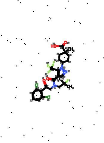 CC(C)(F)CN(CC(=O)c1c(Cl)cccc1Cl)C(=O)c1cnn(C2CCC(C)(C(=O)O)CC2)c1C(F)(F)F